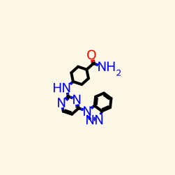 NC(=O)C1CCC(Nc2nccc(-n3nnc4ccccc43)n2)CC1